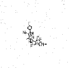 CCn1nc2c(F)cc(N3CCNCC3C(F)(F)F)cc2c1N(C)c1nc(-c2ccc(F)cc2)c(C#N)s1